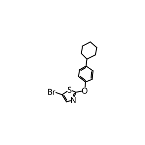 Brc1cnc(Oc2ccc(C3CCCCC3)cc2)s1